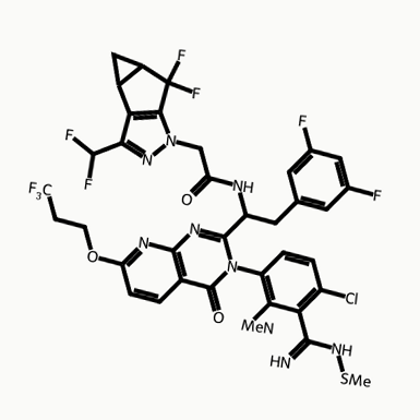 CNc1c(-n2c(C(Cc3cc(F)cc(F)c3)NC(=O)Cn3nc(C(F)F)c4c3C(F)(F)C3CC43)nc3nc(OCCC(F)(F)F)ccc3c2=O)ccc(Cl)c1C(=N)NSC